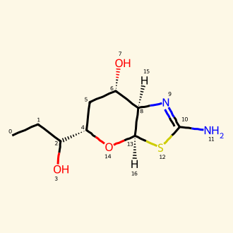 CCC(O)[C@@H]1C[C@H](O)[C@H]2N=C(N)S[C@H]2O1